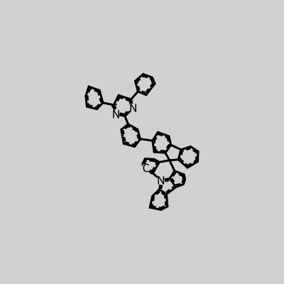 c1ccc(-c2cc(-c3ccccc3)nc(-c3cccc(-c4ccc5c(c4)C4(c6ccccc6-5)c5ccccc5-n5c6ccccc6c6cccc4c65)c3)n2)cc1